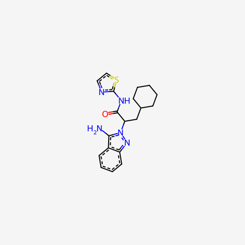 Nc1c2ccccc2nn1C(CC1CCCCC1)C(=O)Nc1nccs1